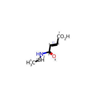 CBNC(=O)/C=C/C(=O)O